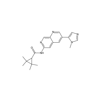 Cn1cncc1-c1cnc2cnc(NC(=O)C3C(C)(C)C3(C)C)cc2c1